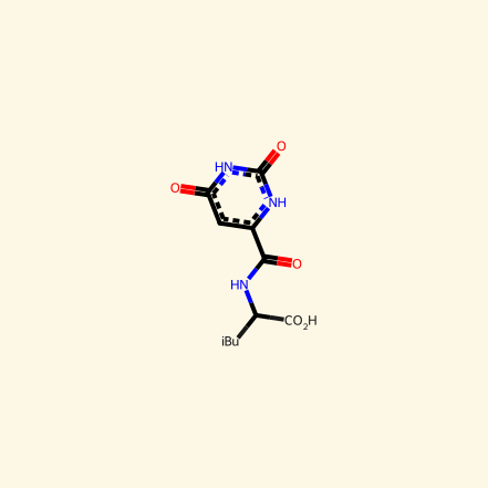 CCC(C)C(NC(=O)c1cc(=O)[nH]c(=O)[nH]1)C(=O)O